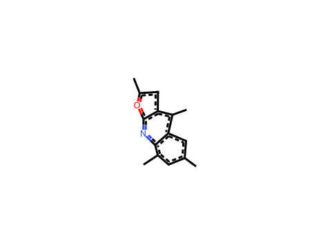 Cc1cc(C)c2nc3oc(C)cc3c(C)c2c1